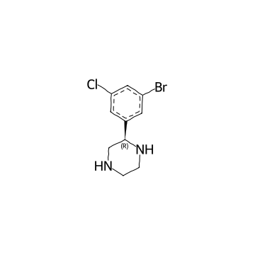 Clc1cc(Br)cc([C@@H]2CNCCN2)c1